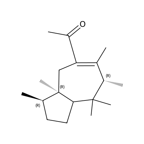 CC(=O)C1=C(C)[C@H](C)C(C)(C)C2CC[C@@H](C)[C@@]2(C)C1